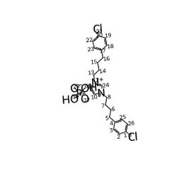 Clc1ccc(CCCCn2cc[n+](CCCCc3ccc(Cl)cc3)c2)cc1.O=P([O-])(O)O